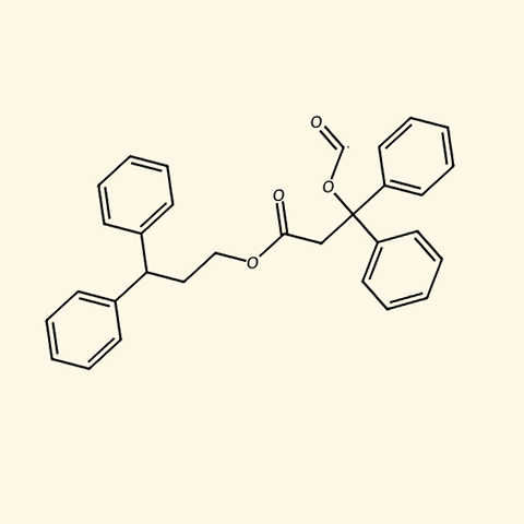 O=[C]OC(CC(=O)OCCC(c1ccccc1)c1ccccc1)(c1ccccc1)c1ccccc1